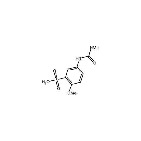 CNC(=O)Nc1ccc(OC)c(S(C)(=O)=O)c1